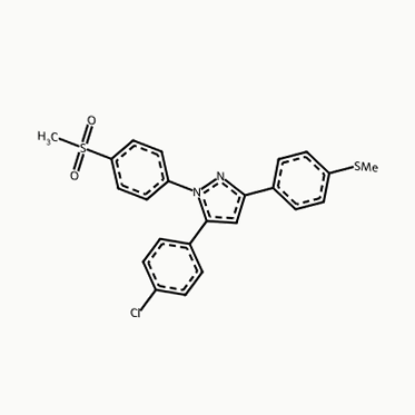 CSc1ccc(-c2cc(-c3ccc(Cl)cc3)n(-c3ccc(S(C)(=O)=O)cc3)n2)cc1